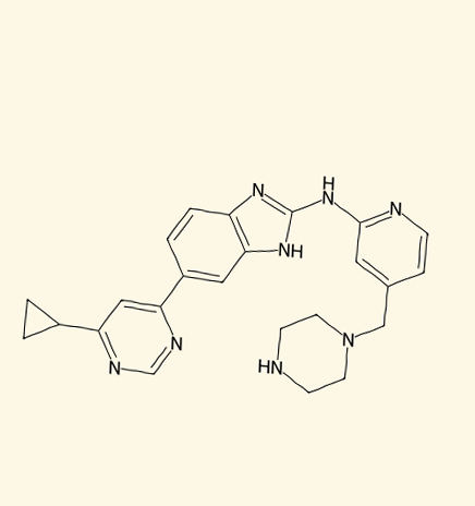 c1cc(CN2CCNCC2)cc(Nc2nc3ccc(-c4cc(C5CC5)ncn4)cc3[nH]2)n1